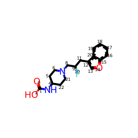 O=C(O)NC1CCN(CC(F)Cc2coc3ccccc23)CC1